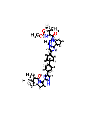 COC(=O)N[C@H](C(=O)N(C)C1CCC[C@H]1c1nc(-c2ccc(-c3ccc(-c4c[nH]c([C@@H]5CCCN5C(=O)[C@@H](C)C(C)C)n4)cc3)cc2)c[nH]1)C(C)C